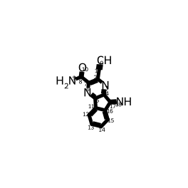 C#Cc1nc2c(nc1C(N)=O)-c1ccccc1C2=N